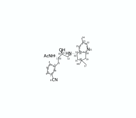 CC(=O)N[C@@H](Cc1cccc(C#N)c1)[C@@H](O)CN[C@H]1CC(C)(C)Cc2ncc(C)cc21